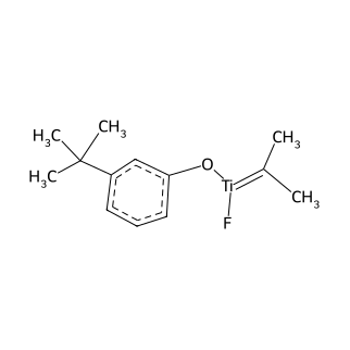 C[C](C)=[Ti]([F])[O]c1cccc(C(C)(C)C)c1